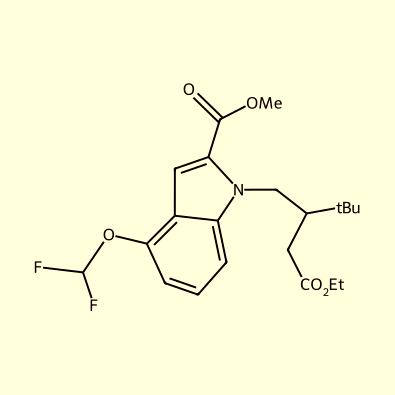 CCOC(=O)CC(Cn1c(C(=O)OC)cc2c(OC(F)F)cccc21)C(C)(C)C